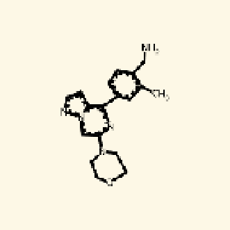 Cc1cc(-c2nc(N3CCOCC3)cn3nccc23)ccc1CN